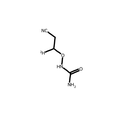 [2H]C(CC#N)ONC(N)=O